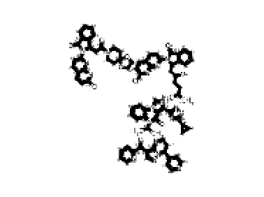 CC(C)CCC(=O)CC1c2ccccc2C(=O)N1c1ccc2ccc(Cl)nc2n1.CC(C)n1c(=O)c2c(-c3noc(C4CC4)n3)ncn2c2ccccc21.O=C(CC1c2ccccc2C(=O)N1c1ccc2ccc(Cl)nc2n1)N1CCC2(CC1)OCCO2.O=C(c1ccccn1)c1cnn2c(-c3ccncc3)ccnc12